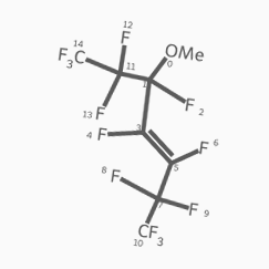 COC(F)(/C(F)=C(\F)C(F)(F)C(F)(F)F)C(F)(F)C(F)(F)F